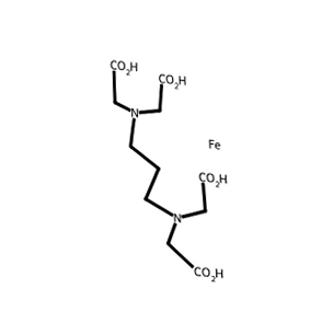 O=C(O)CN(CCCN(CC(=O)O)CC(=O)O)CC(=O)O.[Fe]